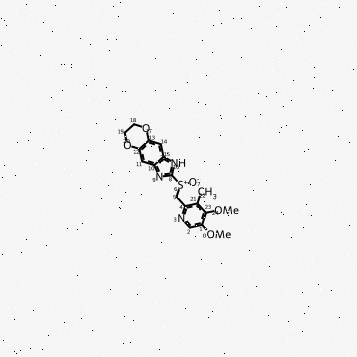 COc1cnc(C[S+]([O-])c2nc3cc4c(cc3[nH]2)OCCO4)c(C)c1OC